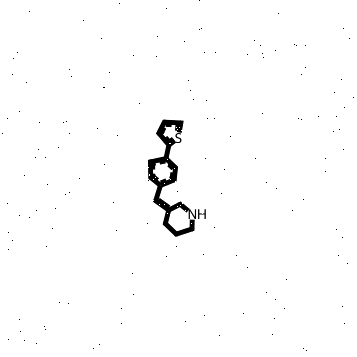 C(=C1CCCNC1)c1ccc(-c2cccs2)cc1